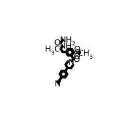 CC(Cc1ccc(S(C)(=O)=O)c(C(=O)N2CCC(c3ccc(C#N)cc3)CC2)c1)NC(N)=O